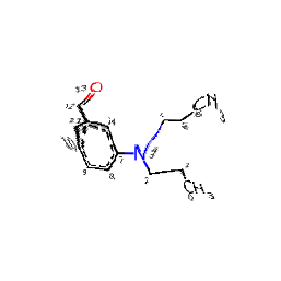 CCCN(CCC)c1cccc(C=O)c1